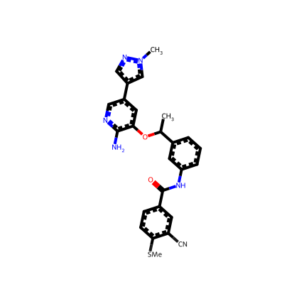 CSc1ccc(C(=O)Nc2cccc(C(C)Oc3cc(-c4cnn(C)c4)cnc3N)c2)cc1C#N